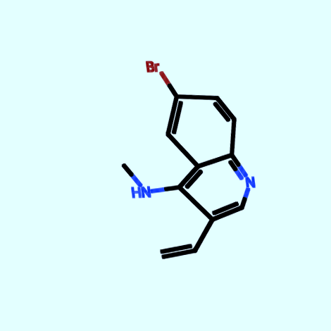 C=Cc1cnc2ccc(Br)cc2c1NC